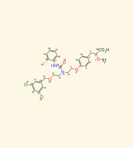 CCOC(Cc1ccc(OCCN(CCOCc2cc(Cl)cc(Cl)c2)C(=O)Nc2ccccc2F)cc1)C(=O)O